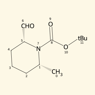 C[C@@H]1CCC[C@H](C=O)N1C(=O)OC(C)(C)C